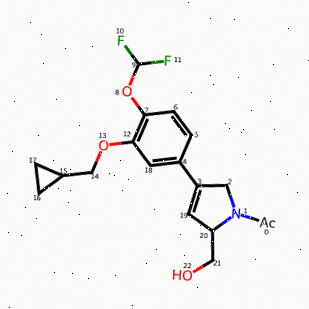 CC(=O)N1CC(c2ccc(OC(F)F)c(OCC3CC3)c2)=CC1CO